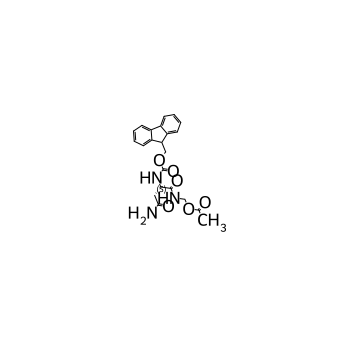 CC(=O)OCNC(=O)[C@H](CC(N)=O)NC(=O)OCC1c2ccccc2-c2ccccc21